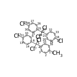 Cc1ccc(C(Cl)(Cl)c2ccc(Cl)cc2)cc1.Clc1ccc(C(Cl)(Cl)c2ccc(Cl)cc2)cc1